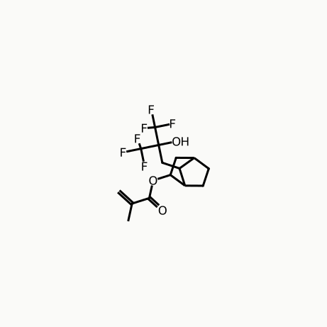 C=C(C)C(=O)OC1CC2CCC1C2CC(O)(C(F)(F)F)C(F)(F)F